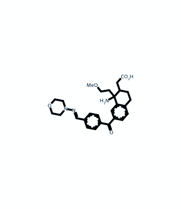 COCCC1(N)c2cc(C(=O)c3ccc(C=NN4CCOCC4)cc3)ccc2CCC1CC(=O)O